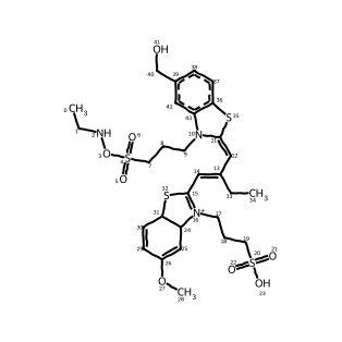 CCNOS(=O)(=O)CCCN1C(=CC(=CC2=[N+](CCCS(=O)(=O)O)C3C=C(OC)C=CC3S2)CC)Sc2ccc(CO)cc21